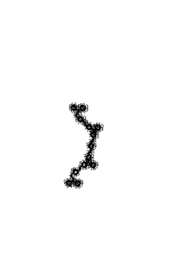 C(/C=C\c1ccc(/C=C/c2ccc(N(c3ccccc3)c3ccc(/C=C/c4ccc(/C=C/c5ccc(N(c6ccccc6)c6ccc(/C=C/c7ccc(/C=C\C=C(c8ccccc8)c8ccccc8)cc7)cc6)cc5)cc4)cc3)cc2)cc1)=C(c1ccccc1)c1ccccc1